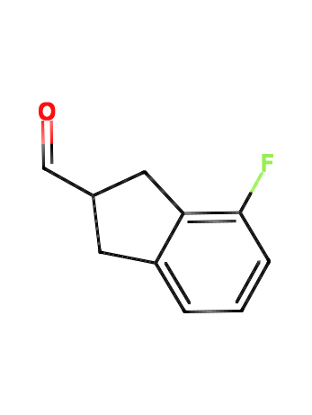 O=CC1Cc2cccc(F)c2C1